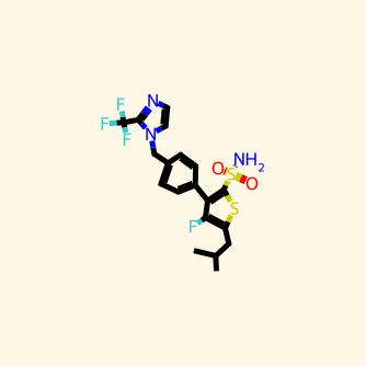 CC(C)Cc1sc(S(N)(=O)=O)c(-c2ccc(Cn3ccnc3C(F)(F)F)cc2)c1F